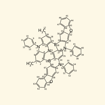 Cc1cc2c3c(c1)N(c1ccccc1)c1cc(C)cc4c1N3c1c3c(cc5c1B4c1cc4c(cc1N5c1ccccc1)oc1ccccc14)N(c1ccccc1)c1cc4oc5ccccc5c4cc1B23